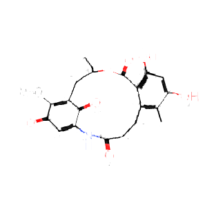 COC1=C2CC(C)OC(=O)c3c(O)cc(O)c(C)c3CCC(=O)NC(=CC1=O)C2=O